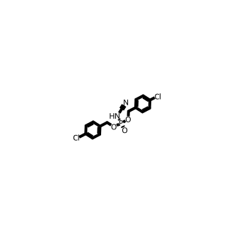 N#CNP(=O)(OCc1ccc(Cl)cc1)OCc1ccc(Cl)cc1